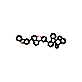 c1ccc2c(c1)-c1c(-c3ccc4c(c3)-c3cccc5c(-c6ccc7sc8ccccc8c7c6)ccc(c35)O4)cccc1C21c2ccccc2-c2cccc3cccc1c23